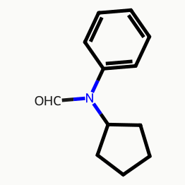 O=CN(c1ccccc1)C1CCCC1